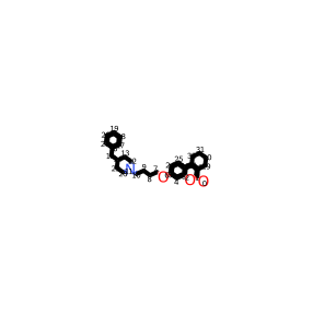 O=c1oc2cc(OCCCCN3CCC(Cc4ccccc4)CC3)ccc2c2c1CCCC2